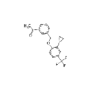 CC(=O)c1cccc(COc2ccc(C(F)(F)F)cc2C2CC2)c1